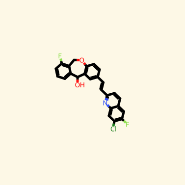 OC1c2cc(C=Cc3ccc4cc(F)c(Cl)cc4n3)ccc2OCc2c(F)cccc21